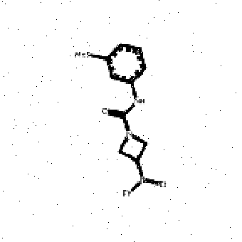 CCN(CC)C1CN(C(=O)Nc2cccc(SC)c2)C1